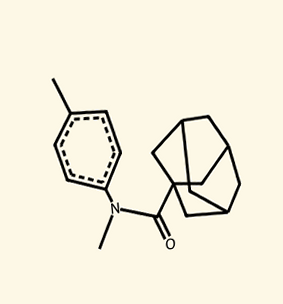 Cc1ccc(N(C)C(=O)C23CC4CC(CC(C4)C2)C3)cc1